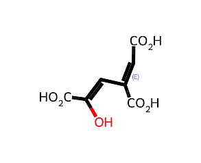 O=C(O)/C=C(\C=C(O)C(=O)O)C(=O)O